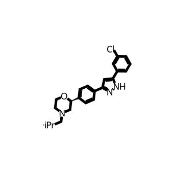 C[C](C)CN1CCO[C@@H](c2ccc(-c3cc(-c4cccc(Cl)c4)[nH]n3)cc2)C1